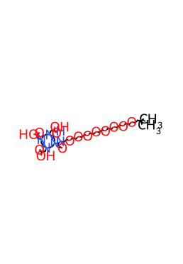 CC(C)CCOCCOCCOCCOCCOCCOCCOCCOCCNC(C=O)N1CCN(CC(=O)O)CCN(CC(=O)O)CCN(CC(=O)O)CC1